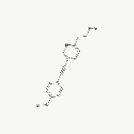 CCOc1ccc(C#Cc2ccc(CCNC(C)=O)nc2)cc1